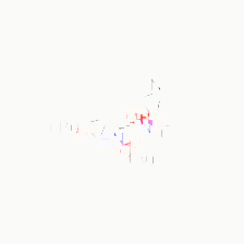 CCCCOc1ccc(C[C@H](NC(=O)OC(C)(C)C)[C@H](O)CN(CC(C)C)S(=O)(=O)c2ccc([N+](=O)[O-])cc2)cc1